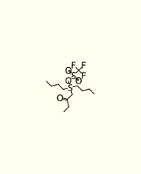 CCCCS(CCCC)(CC(=O)CC)OS(=O)(=O)C(F)(F)F